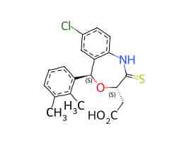 Cc1cccc([C@@H]2O[C@@H](CC(=O)O)C(=S)Nc3ccc(Cl)cc32)c1C